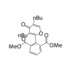 CCCCc1coc(-c2c(C(=O)OC)cccc2C(=O)OC)c(CCCC)c1=O